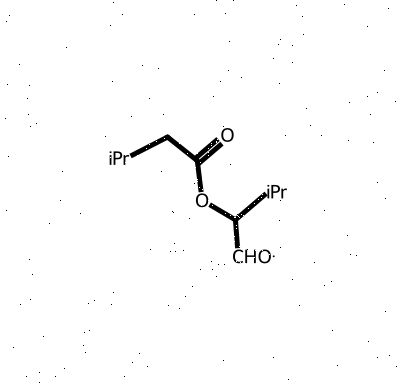 CC(C)CC(=O)OC([C]=O)C(C)C